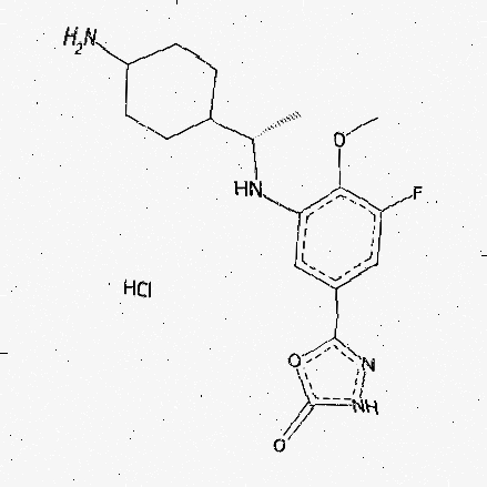 COc1c(F)cc(-c2n[nH]c(=O)o2)cc1N[C@@H](C)C1CCC(N)CC1.Cl